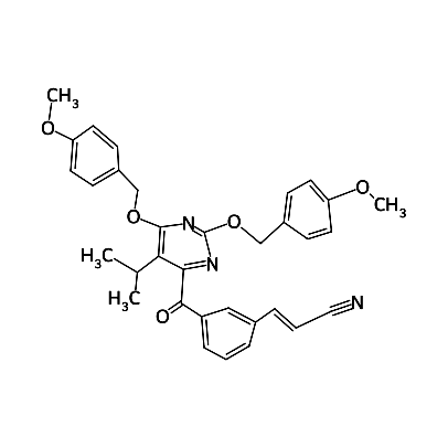 COc1ccc(COc2nc(OCc3ccc(OC)cc3)c(C(C)C)c(C(=O)c3cccc(C=CC#N)c3)n2)cc1